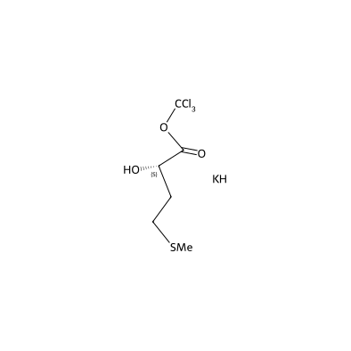 CSCC[C@H](O)C(=O)OC(Cl)(Cl)Cl.[KH]